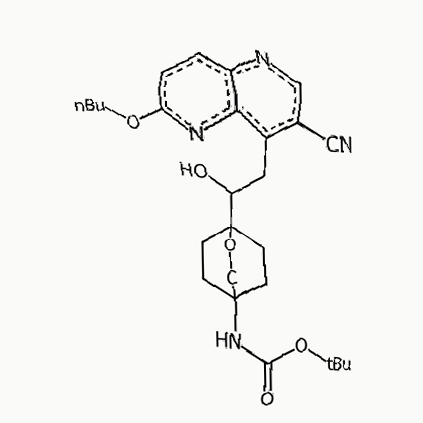 CCCCOc1ccc2ncc(C#N)c(CC(O)C34CCC(NC(=O)OC(C)(C)C)(CC3)CO4)c2n1